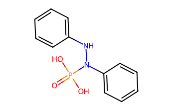 O=P(O)(O)N(Nc1ccccc1)c1ccccc1